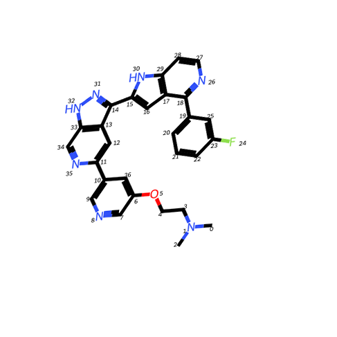 CN(C)CCOc1cncc(-c2cc3c(-c4cc5c(-c6cccc(F)c6)nccc5[nH]4)n[nH]c3cn2)c1